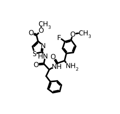 COC(=O)c1csc(NC(=O)C(Cc2ccccc2)NC(=O)C(N)c2ccc(OC)c(F)c2)n1